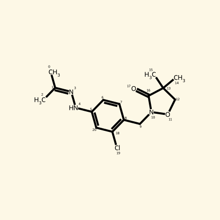 CC(C)=NNc1ccc(CN2OCC(C)(C)C2=O)c(Cl)c1